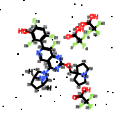 O=C(O)C(F)(F)F.O=C(O)C(F)(F)F.O=C(O)C(F)(F)F.Oc1c(F)cc(F)c(-c2ncc3c(N4C[C@H]5CC[C@@H](C4)N5)nc(OCC45CCCN4CCC5)nc3c2F)c1F